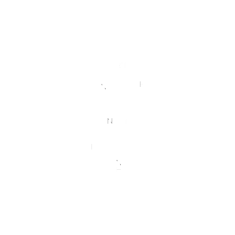 Fc1cc(N2C[C@@H]3CNCC[C@@H]32)cnc1Cl